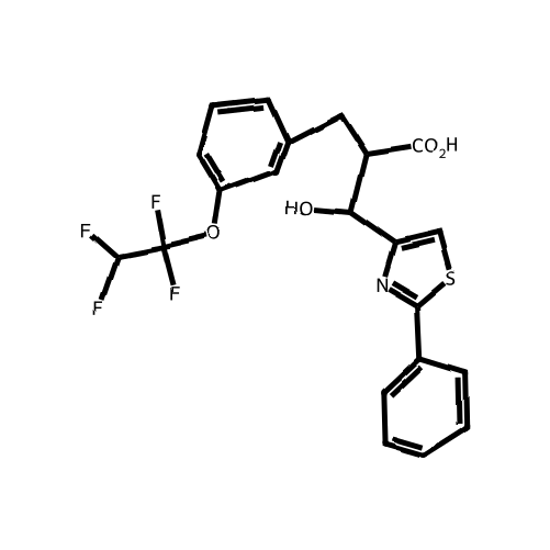 O=C(O)C(Cc1cccc(OC(F)(F)C(F)F)c1)C(O)c1csc(-c2ccccc2)n1